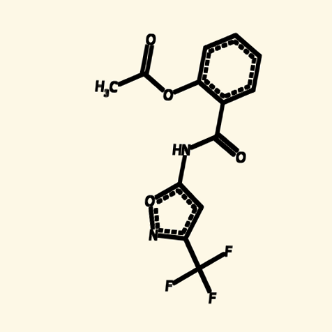 CC(=O)Oc1ccccc1C(=O)Nc1cc(C(F)(F)F)no1